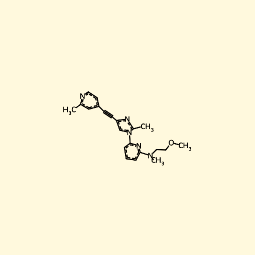 COCCN(C)c1cccc(-n2cc(C#Cc3ccnc(C)c3)nc2C)n1